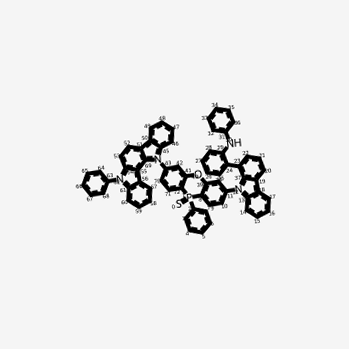 S=P1(c2ccccc2)c2ccc(-n3c4ccccc4c4cccc(-c5ccccc5Nc5ccccc5)c43)cc2Oc2cc(-n3c4ccccc4c4ccc5c(c6ccccc6n5-c5ccccc5)c43)ccc21